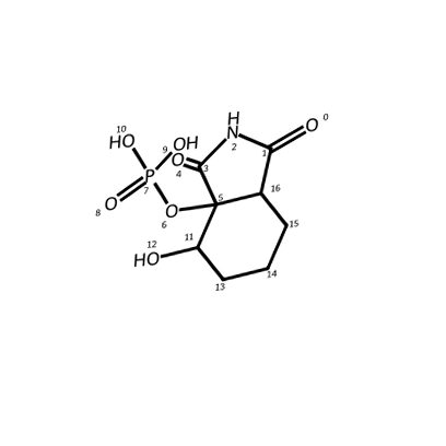 O=C1NC(=O)C2(OP(=O)(O)O)C(O)CCCC12